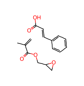 C=C(C)C(=O)OCC1CO1.O=C(O)C=Cc1ccccc1